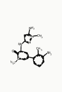 Cc1c(N)cccc1-c1cc(Nc2cc(N)n(C)n2)c(=O)n(C)c1